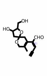 C#C/C=C(/C=O)C1=C(C)COC2(C1)CC(O)C(CO)O2